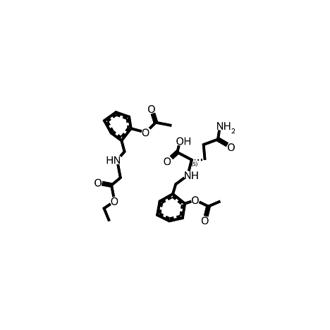 CC(=O)Oc1ccccc1CN[C@@H](CCC(N)=O)C(=O)O.CCOC(=O)CNCc1ccccc1OC(C)=O